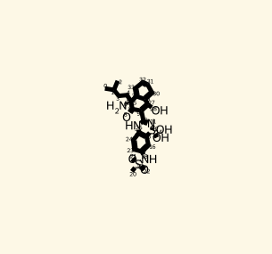 CC(C)CC[C@@]1(N)C(=O)C(C2=NS(O)(O)c3cc(NS(C)(=O)=O)ccc3N2)=C(O)c2ccccc21